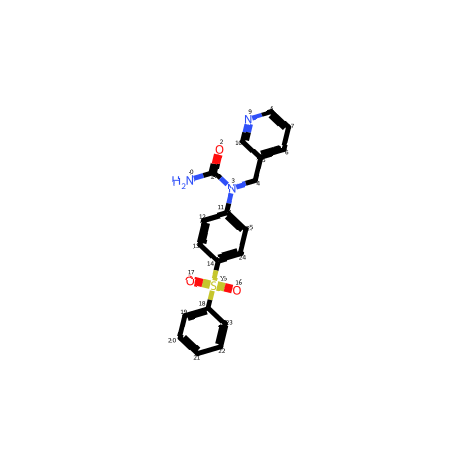 NC(=O)N(Cc1cccnc1)c1ccc(S(=O)(=O)c2ccccc2)cc1